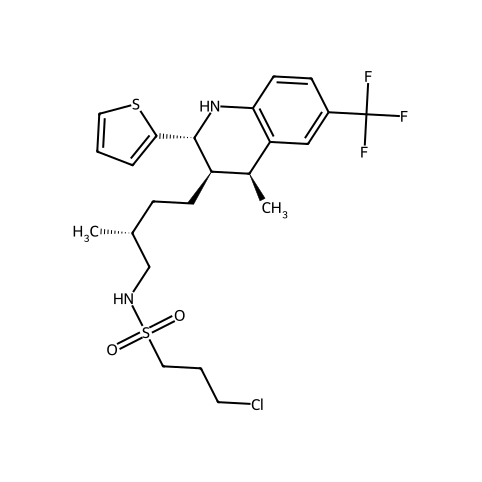 C[C@H](CC[C@@H]1[C@H](C)c2cc(C(F)(F)F)ccc2N[C@H]1c1cccs1)CNS(=O)(=O)CCCCl